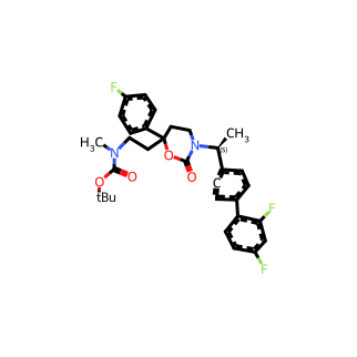 C[C@@H](c1ccc(-c2ccc(F)cc2F)cc1)N1CCC(CCN(C)C(=O)OC(C)(C)C)(c2ccc(F)cc2)OC1=O